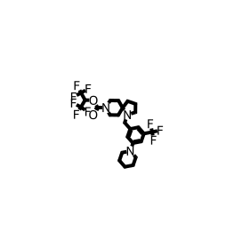 O=C(OC(C(F)(F)F)C(F)(F)F)N1CCC2(CCCN2Cc2cc(N3CCCCC3)cc(C(F)(F)F)c2)CC1